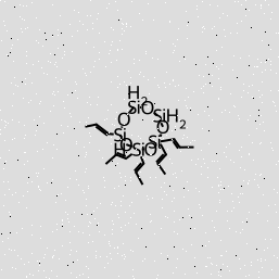 CC=C[SiH]1O[SiH2]O[SiH2]O[Si](C=CC)(C=CC)O[Si](C=CC)(C=CC)O1